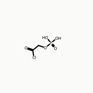 O=C(Cl)COP(=O)(O)O